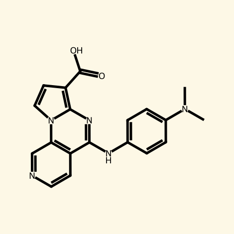 CN(C)c1ccc(Nc2nc3c(C(=O)O)ccn3c3cnccc23)cc1